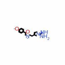 CN(CCC1=CCN(C(=N)N)C1)CC(=O)c1ccc([O])cc1